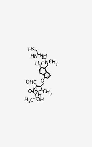 C[C@@H](O)[C@H]1C(=O)N2C(C=O)=C(COc3cccc4c(C[N+](C)(C)CCNC(=N)CS)cccc34)[C@H](C)[C@H]12